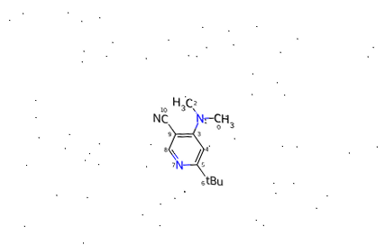 CN(C)c1cc(C(C)(C)C)ncc1C#N